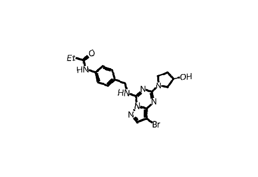 CCC(=O)Nc1ccc(CNc2nc(N3CC[C@@H](O)C3)nc3c(Br)cnn23)cc1